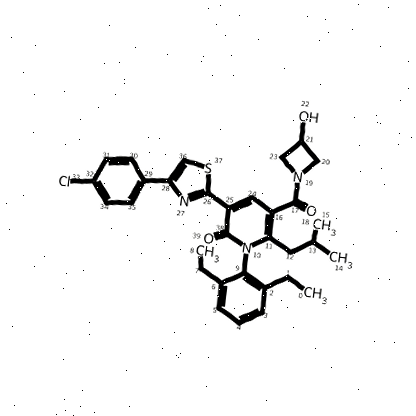 CCc1cccc(CC)c1-n1c(CC(C)C)c(C(=O)N2CC(O)C2)cc(-c2nc(-c3ccc(Cl)cc3)cs2)c1=O